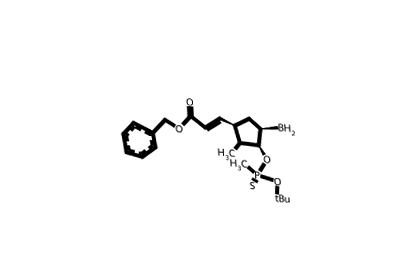 B[C@@H]1C[C@H](/C=C/C(=O)OCc2ccccc2)C(C)[C@@H]1OP(C)(=S)OC(C)(C)C